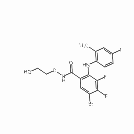 Cc1cc(I)ccc1Nc1c(C(=O)NOCCO)cc(Br)c(F)c1F